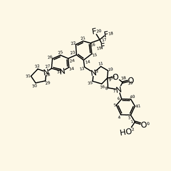 O=C(O)c1ccc(N2CC3(CCN(Cc4cc(C(F)(F)F)ccc4-c4ccc(N5CCCC5)nc4)CC3)OC2=O)cc1